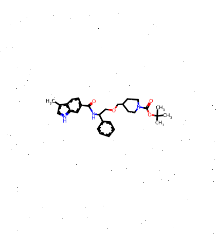 Cc1c[nH]c2cc(C(=O)NC(COCC3CCN(C(=O)OC(C)(C)C)CC3)c3ccccc3)ccc12